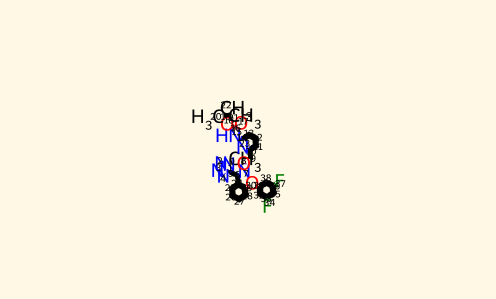 Cn1nnnc1/C(=N\OCc1cccc(NC(=O)OC(C)(C)C)n1)c1ccccc1Oc1cc(F)cc(F)c1